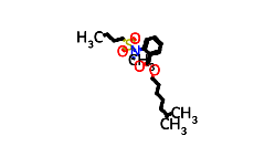 CCCCS(=O)(=O)N(C)c1ccccc1C(=O)OCCCCCC(C)C